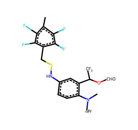 CCCN(C)c1ccc(NSCc2c(F)c(F)c(C)c(F)c2F)cc1C(OC=O)C(F)(F)F